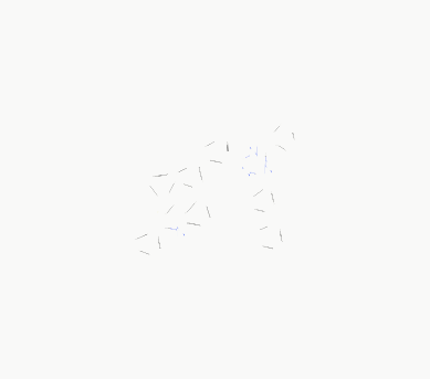 c1ccc(-c2ccc(-c3nc(-c4ccccc4)nc(-c4cccc(-c5cccc(-c6cccc7nc(-c8ccccc8)c8sc9ccccc9c8c67)c5)c4)n3)cc2)cc1